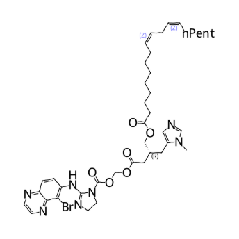 CCCCC/C=C\C/C=C\CCCCCCCC(=O)OC[C@@H](CC(=O)OCOC(=O)N1CCN=C1Nc1ccc2nccnc2c1Br)Cc1cncn1C